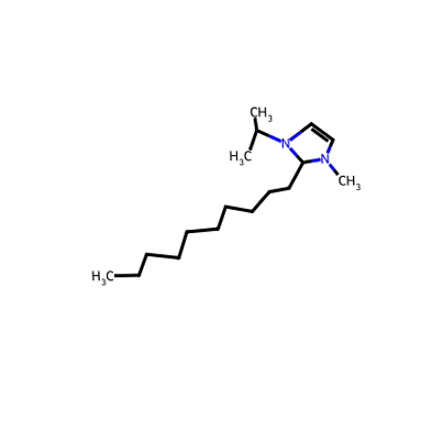 CCCCCCCCCCC1N(C)C=CN1C(C)C